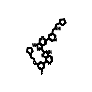 Fc1cc(OCCN2CCCC2)cc(-c2nccc3[nH]c(-c4n[nH]c5cnc(-c6cncc(CNCC7CCCC7)c6)cc45)nc23)c1